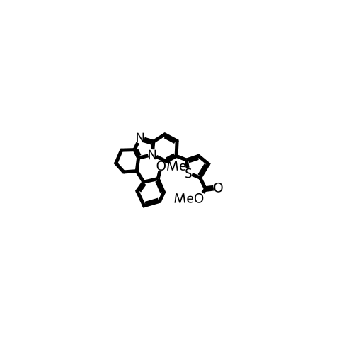 COC(=O)c1ccc(-c2ccc3nc4c(n3c2)C(c2ccccc2OC)CCC4)s1